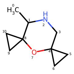 CC1NCC2(CC2)OC12CC2